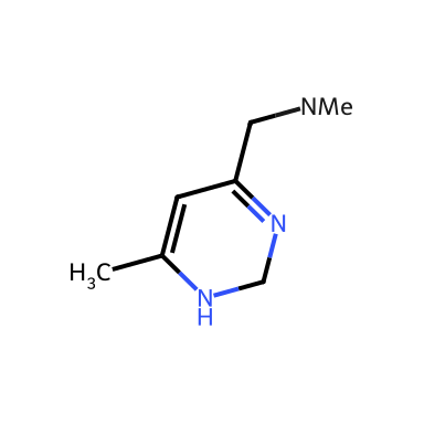 CNCC1=NCNC(C)=C1